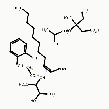 CC(=O)O.CC(O)C(=O)O.CCCCCCCC/C=C\CCCCCCCC(=O)O.O=C(O)C(O)C(O)C(=O)O.O=C(O)CC(O)(CC(=O)O)C(=O)O.O=C(O)c1ccccc1O